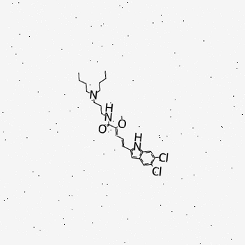 CCCCN(CCCC)CCCNC(=O)C(=CC=Cc1cc2cc(Cl)c(Cl)cc2[nH]1)OC